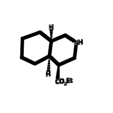 CCOC(=O)[C@@H]1CNC[C@@H]2CCCC[C@@H]21